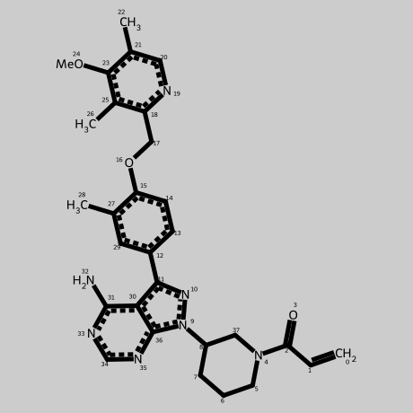 C=CC(=O)N1CCCC(n2nc(-c3ccc(OCc4ncc(C)c(OC)c4C)c(C)c3)c3c(N)ncnc32)C1